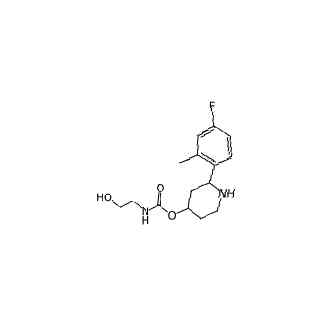 Cc1cc(F)ccc1C1CC(OC(=O)NCCO)CCN1